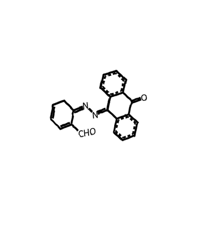 O=CC1=CC=CCC1=NN=C1c2ccccc2C(=O)c2ccccc21